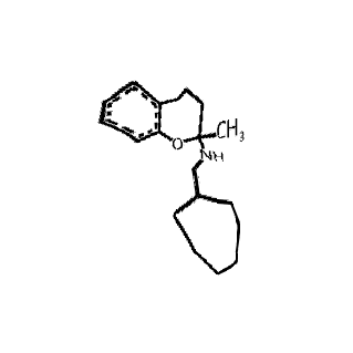 CC1(NCC2CCCCCC2)CCc2ccccc2O1